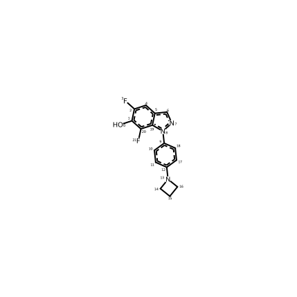 Oc1c(F)cc2cnn(-c3ccc(N4CCC4)cc3)c2c1F